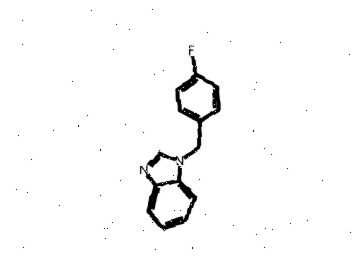 Fc1ccc(Cn2[c]nc3ccccc32)cc1